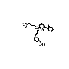 Cc1ccccc1C1=CC=CC(OCCCN2CCCC(CO)C2)(OCCCN2CC[C@@H](O)C2)C1C